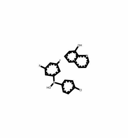 OB(c1ccc(Cl)cc1)c1cc(F)cc(F)c1.Oc1cccc2cccnc12